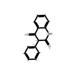 O=C1Nc2ccccc2C(=O)C1c1ccccc1